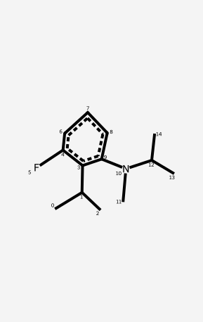 CC(C)c1c(F)cccc1N(C)C(C)C